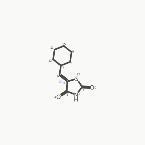 O=C1NC(=O)/C(=C/C2CCCCC2)S1